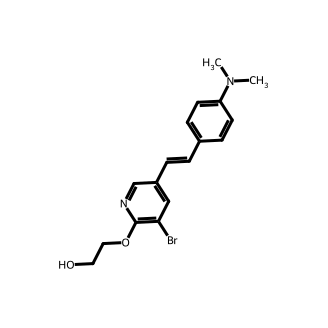 CN(C)c1ccc(C=Cc2cnc(OCCO)c(Br)c2)cc1